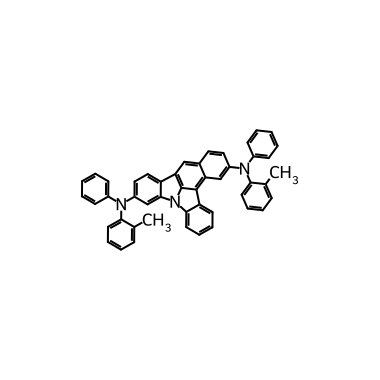 Cc1ccccc1N(c1ccccc1)c1ccc2cc3c4ccc(N(c5ccccc5)c5ccccc5C)cc4n4c5ccccc5c(c2c1)c34